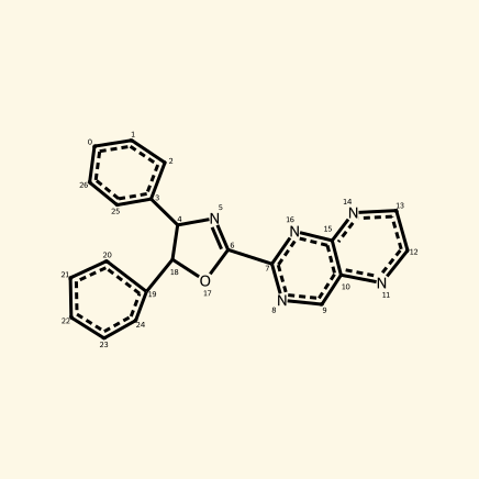 c1ccc(C2N=C(c3ncc4nccnc4n3)OC2c2ccccc2)cc1